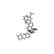 CN1CCN(Cc2ccc(NC(=O)Nc3ccc(-c4cn(C5CC5)c5ncnc(N)c45)cc3Cl)cc2C(F)(F)F)CC1.O=C(O)O.O=C(O)O